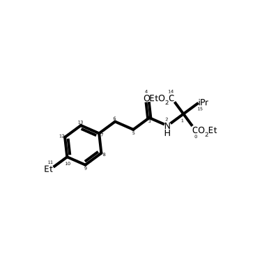 CCOC(=O)C(NC(=O)CCc1ccc(CC)cc1)(C(=O)OCC)C(C)C